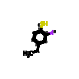 CCc1ccc(S)c(I)c1